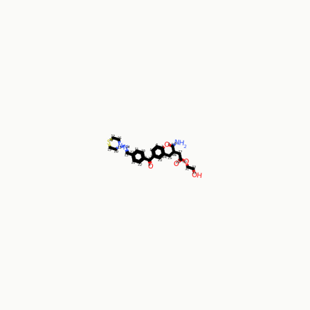 NC1Oc2ccc(C(=O)c3ccc(C=NN4CCSCC4)cc3)cc2CC1CC(=O)OCCO